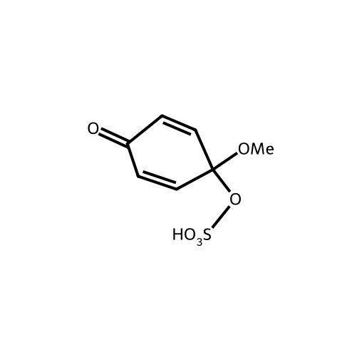 COC1(OS(=O)(=O)O)C=CC(=O)C=C1